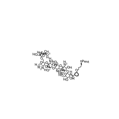 CCCCCC#CCCCOc1cccc(C(=O)NC2C(OC3C(O)C(N)[C@H](OC4C(CO)OC(OC5C(O)C(N)[C@H](OC6C(COC(OC(C)[C@H](C)O)[C@@H](CO)OC)OC(C)C(N)C6O)O[C@H]5CO)C(N)C4O)O[C@H]3CO)OC(CO)C(O)C2O)c1